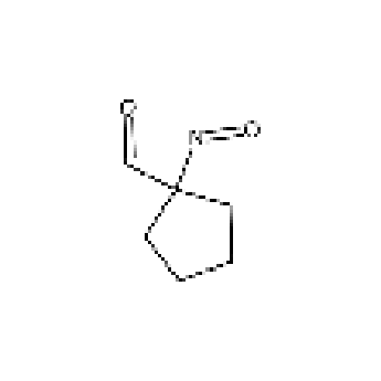 O=CC1(N=O)CCCC1